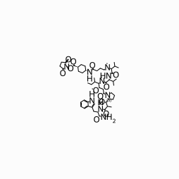 CCC(C)C(C(CC(=O)N1CCC[C@H]1C(OC)C(C)C(=O)NC(Cc1c[nH]c2ccccc12)C(N)=O)OC)N(C)C(=O)C(NC(=O)C(C(C)C)N(C)CCCC(=O)N[C@H]1CC[C@H](C(=O)ON2C(=O)CCC2=O)CC1)C(C)C